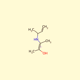 C=CC(C)N/C(C)=C(\C)O